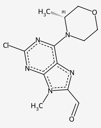 C[C@@H]1COCCN1c1nc(Cl)nc2c1nc(C=O)n2C